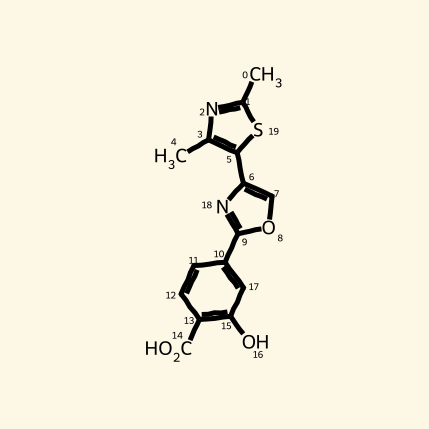 Cc1nc(C)c(-c2coc(-c3ccc(C(=O)O)c(O)c3)n2)s1